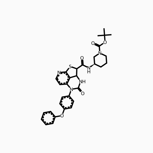 CC(C)(C)OC(=O)N1CCC[C@@H](NC(=O)C2Sc3nccc4c3C2NC(=O)N4c2ccc(Oc3ccccc3)cc2)C1